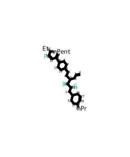 C=CCC(CCC1CCC(C(=C)/C=C(/F)[C@H](CC)CCCCC)CC1)C(F)C(F)CC1CC=CC(CCC)CC1